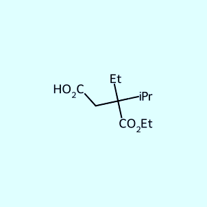 CCOC(=O)C(CC)(CC(=O)O)C(C)C